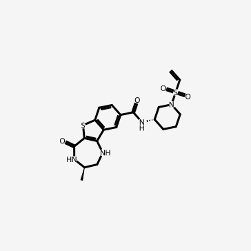 C=CS(=O)(=O)N1CCC[C@H](NC(=O)c2ccc3sc4c(c3c2)NC[C@@H](C)NC4=O)C1